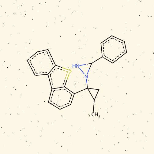 CC1CC1(c1cccc2c1sc1ccccc12)N1NC1c1ccccc1